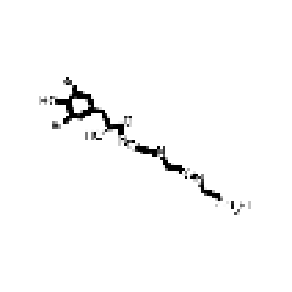 CCOC(=O)CCN=C=C=CN=C=C=NC(=O)[C@H](O)Cc1cc(Br)c(O)c(Br)c1